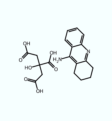 Nc1c2c(nc3ccccc13)CCCC2.O=C(O)CC(O)(CC(=O)O)C(=O)O